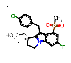 CS(=O)(=O)c1cc(F)cc2c1c(Cc1ccc(Cl)cc1)c1n2CC[C@@H]1CC(=O)O